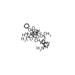 CC(C)OC(=O)[C@H](C)O[P@@](=O)(CO[C@H](C)Cn1cnc2c(N)ncnc21)NC(C)(C)C(=O)OC1CCCCC1